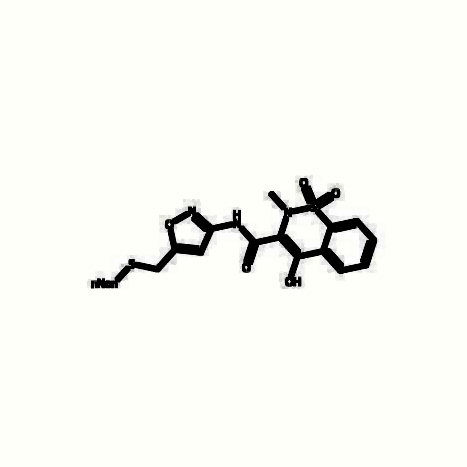 CCCCCCCCCSCc1cc(NC(=O)C2=C(O)c3ccccc3S(=O)(=O)N2C)no1